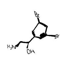 NC[C@H](O)c1cc(Br)cc(Br)c1